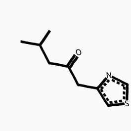 CC(C)CC(=O)Cc1cscn1